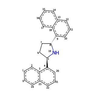 c1ccc2c([C@H]3CC[C@H](c4cccc5ccccc45)N3)cccc2c1